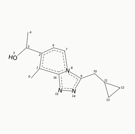 Cc1c(C(C)O)ccn2c(CC3CC3)nnc12